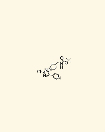 CC(C)(C)OC(=O)NCC1CCN(c2nc(Cl)ncc2-c2ccncc2)CC1